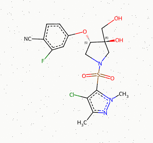 Cc1nn(C)c(S(=O)(=O)N2C[C@H](Oc3ccc(C#N)c(F)c3)[C@](O)(CO)C2)c1Cl